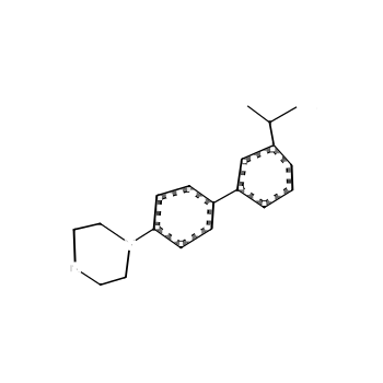 CC(C)c1cccc(-c2ccc(N3CCNCC3)cc2)c1